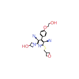 N#Cc1c(SCC2COC2)nc(N2CC(O)C2)c(C#N)c1-c1ccc(OCCO)cc1